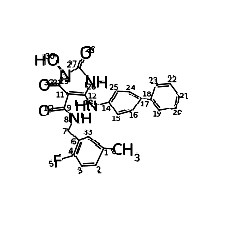 Cc1ccc(F)c(CNC(=O)c2c(Nc3ccc(-c4ccccc4)cc3)[nH]c(=O)n(O)c2=O)c1